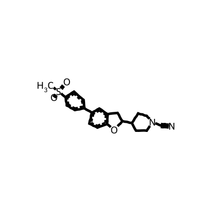 CS(=O)(=O)c1ccc(-c2ccc3c(c2)CC(C2CCN(C#N)CC2)O3)cc1